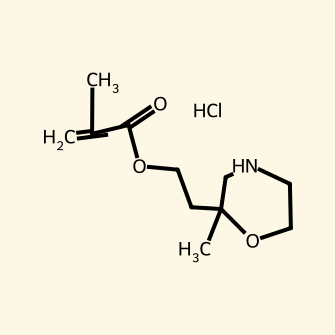 C=C(C)C(=O)OCCC1(C)CNCCO1.Cl